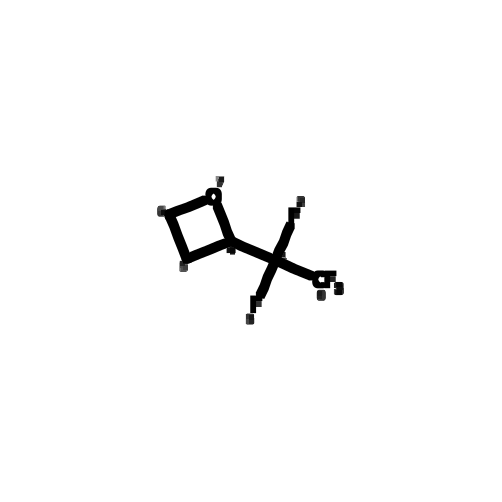 FC(F)(F)C(F)(F)C1CCO1